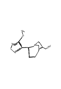 CCCCOc1nsnc1C1CCC2CN1CC2O